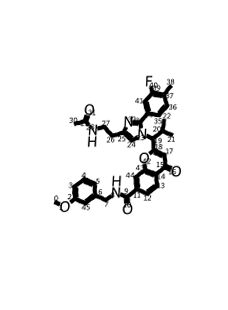 COc1cccc(CNC(=O)c2ccc3c(=O)cc(C(C(C)C)n4cc(CCNC(C)=O)nc4-c4ccc(C)c(F)c4)oc3c2)c1